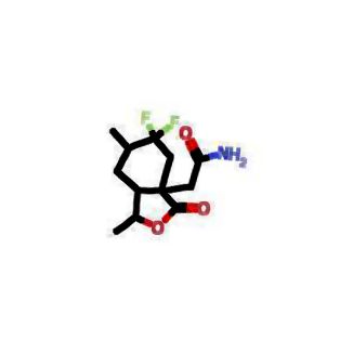 CC1OC(=O)C2(CC(N)=O)CC(F)(F)C(C)CC12